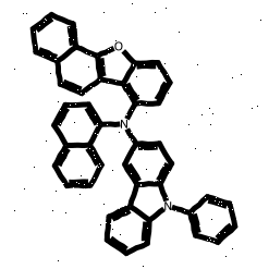 c1ccc(-n2c3ccccc3c3cc(N(c4cccc5ccccc45)c4cccc5oc6c7ccccc7ccc6c45)ccc32)cc1